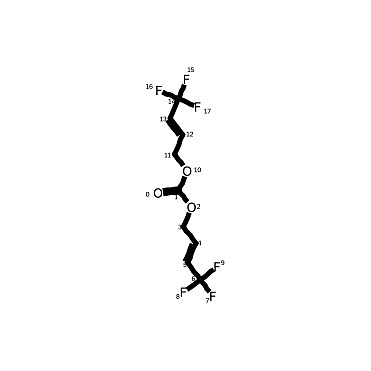 O=C(OC/C=C/C(F)(F)F)OC/C=C/C(F)(F)F